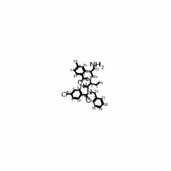 CCC(c1nc2cc(Cl)ccc2c(=O)n1Cc1ccccc1)N(CCCN)C(=O)c1ccc(C)cc1